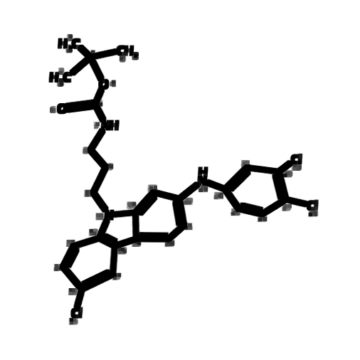 CC(C)(C)OC(=O)NCCCn1c2ccc(Cl)cc2c2ccc(Nc3ccc(Cl)c(Cl)c3)cc21